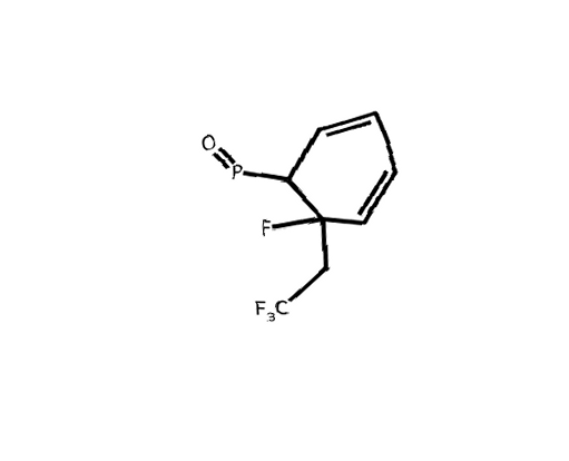 O=PC1C=CC=CC1(F)CC(F)(F)F